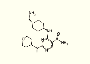 NC[C@H]1CC[C@@H](Nc2nc(NC3CCOCC3)ncc2C(N)=O)CC1